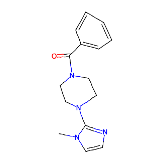 Cn1ccnc1N1CCN(C(=O)c2ccccc2)CC1